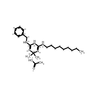 CC(=O)O.CCCCCCCCCNC1=NC(C)(C)N=C(NCc2ccccc2)N1